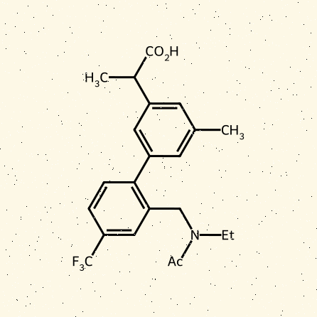 CCN(Cc1cc(C(F)(F)F)ccc1-c1cc(C)cc(C(C)C(=O)O)c1)C(C)=O